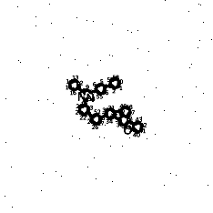 c1ccc(-c2ccc(-c3cc(-c4ccccc4)nc(-c4cccc(-c5cccc(-c6ccc7c(c6)-c6cc8oc9ccccc9c8c8cccc-7c68)c5)c4)n3)cc2)cc1